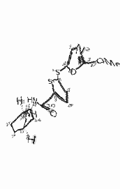 COc1ncc(Sc2ccc(C(=O)N[C@@H]3C[C@H]4CC[C@@H]3N4)s2)o1